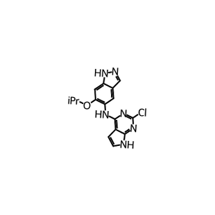 CC(C)Oc1cc2[nH]ncc2cc1Nc1nc(Cl)nc2[nH]ccc12